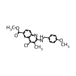 COC(=O)c1ccc2nc(NCc3ccc(OC)cc3)c(C)c(Cl)c2c1